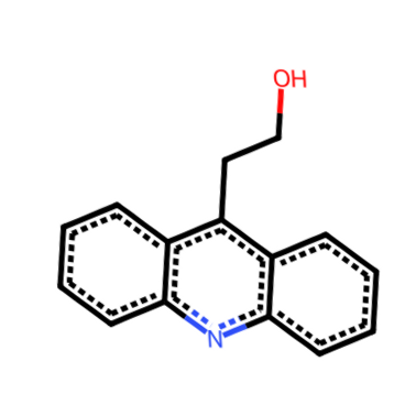 OCCc1c2ccccc2nc2ccccc12